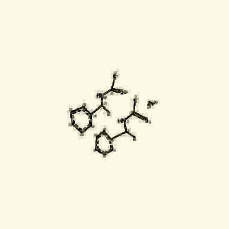 CC(NC(=S)[S-])c1ccccc1.CC(NC(=S)[S-])c1ccccc1.[Zn+2]